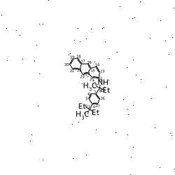 CCC(C)(CC)c1ccc(C(C)(CC)Nc2ccc3cc4ccccc4cc3c2)cc1